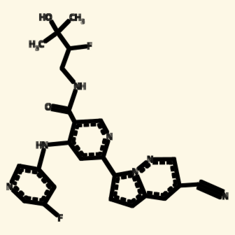 CC(C)(O)C(F)CNC(=O)c1cnc(-c2ccc3cc(C#N)cnn23)cc1Nc1cncc(F)c1